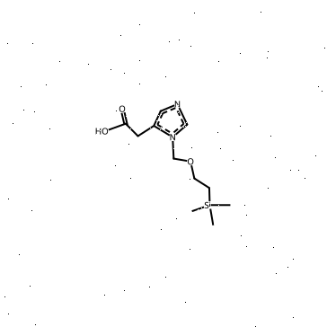 C[Si](C)(C)CCOCn1cncc1CC(=O)O